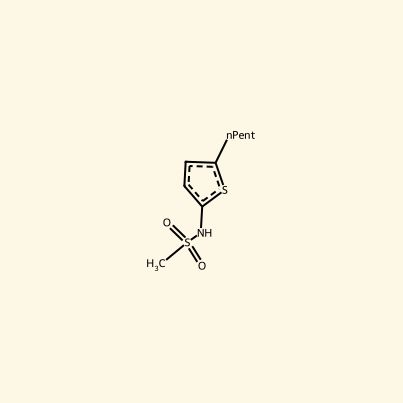 CCCCCc1ccc(NS(C)(=O)=O)s1